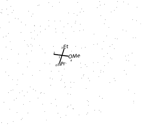 CC[CH]C(C)(CC)OC